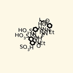 CCC(=O)Nc1cc(S(=O)(=O)O)cc2cc(S(=O)(=O)O)c(/N=N/c3cc(Nc4nc(F)nc(N(CC)c5cccc(S(=O)(=O)C=C(I)I)c5)n4)ccc3S(=O)(=O)O)c(O)c12